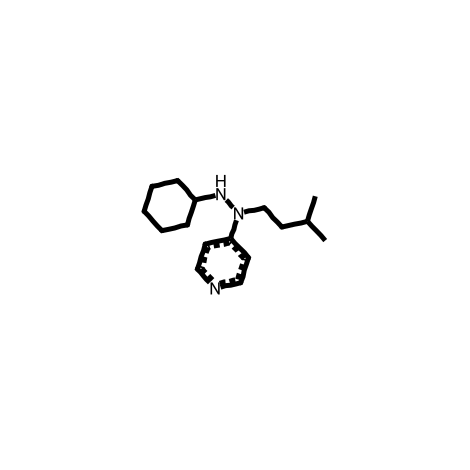 CC(C)CCN(NC1CCCCC1)c1ccncc1